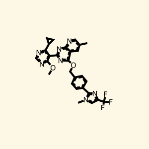 COc1ncnc(C2CC2)c1-c1nc(OCc2ccc(-c3nc(C(F)(F)F)cn3C)cc2)c2cc(C)cnc2n1